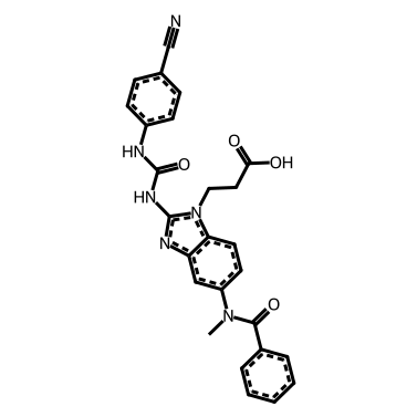 CN(C(=O)c1ccccc1)c1ccc2c(c1)nc(NC(=O)Nc1ccc(C#N)cc1)n2CCC(=O)O